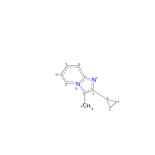 Cc1c(C2CC2)nc2ccccn12